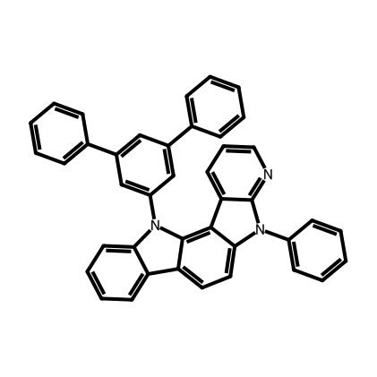 c1ccc(-c2cc(-c3ccccc3)cc(-n3c4ccccc4c4ccc5c(c6cccnc6n5-c5ccccc5)c43)c2)cc1